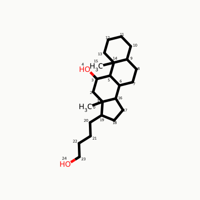 CC12CC(O)C3C(CCC4CCCCC43C)C1CCC2CCCCO